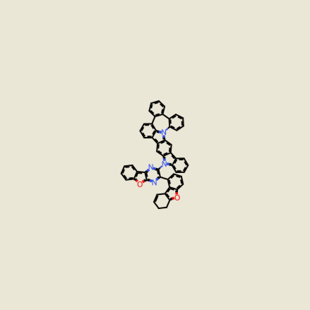 C1=Cc2c(oc3cccc(-c4nc5oc6ccccc6c5nc4-n4c5ccccc5c5cc6c(cc54)c4cccc5c4n6-c4ccccc4-c4ccccc4-5)c23)CC1